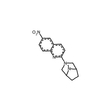 CN1C2CCC1CN(c1ccc3cc([N+](=O)[O-])ccc3n1)C2